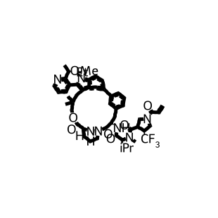 C=CC(=O)N1CC(C(=O)N(C)[C@H](C(=O)N[C@H]2Cc3cccc(c3)-c3ccc4c(c3)c(c(-c3cccnc3[C@H](C)OC)n4CC)CC(C)(C)COC(=O)[C@@H]3CCCN(N3)C2=O)C(C)C)[C@@H](C(F)(F)F)C1